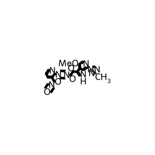 COc1cnc(-n2cnc(C)n2)c2[nH]cc(C(=O)C(=O)N3CCN(c4ncccc4C(=O)N4CCOCC4)CC3)c12